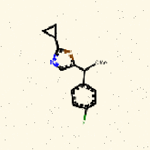 COC(c1ccc(F)cc1)c1cnc(C2CC2)s1